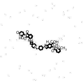 Cc1cccc(C(=O)Nc2cc3cn([C@H]4CC[C@H](CN5CCC6(CC5)CC(Nc5cccc7c5C(=O)N(C5CCC(=O)NC5=O)C7=O)C6)CC4)nc3cc2C(C)(C)O)n1